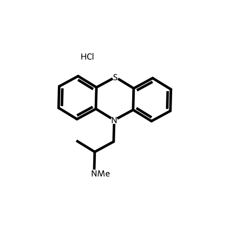 CNC(C)CN1c2ccccc2Sc2ccccc21.Cl